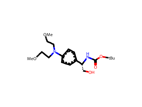 COCCN(CCOC)c1ccc([C@@H](CO)NC(=O)OC(C)(C)C)cc1